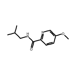 COc1ccc(C(=O)NCC(C)C)nc1